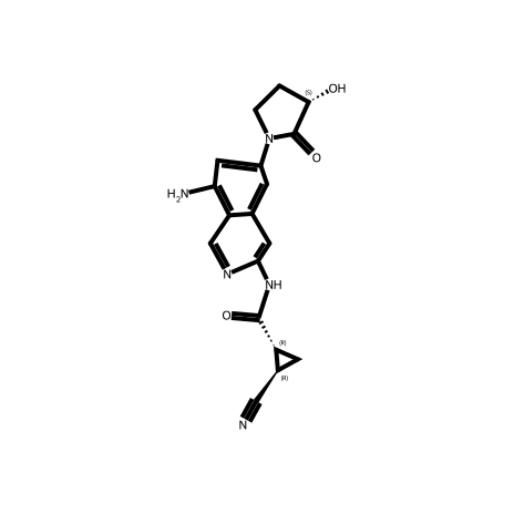 N#C[C@@H]1C[C@H]1C(=O)Nc1cc2cc(N3CC[C@H](O)C3=O)cc(N)c2cn1